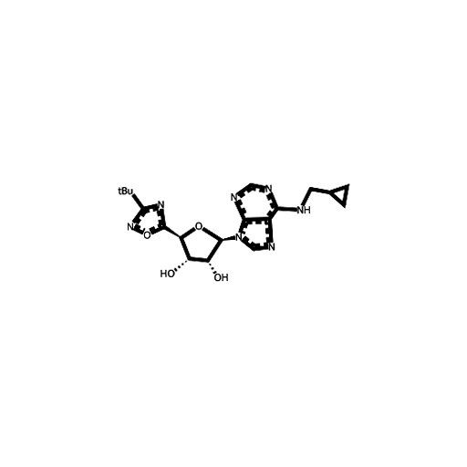 CC(C)(C)c1noc([C@H]2O[C@@H](n3cnc4c(NCC5CC5)ncnc43)[C@H](O)[C@@H]2O)n1